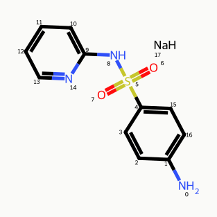 Nc1ccc(S(=O)(=O)Nc2ccccn2)cc1.[NaH]